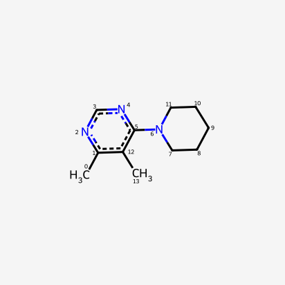 Cc1ncnc(N2CCCCC2)c1C